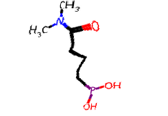 CN(C)C(=O)CCCP(O)O